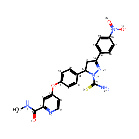 CNC(=O)c1cc(Oc2ccc(C3CC(c4ccc([N+](=O)[O-])cc4)=NN3C(N)=S)cc2)ccn1